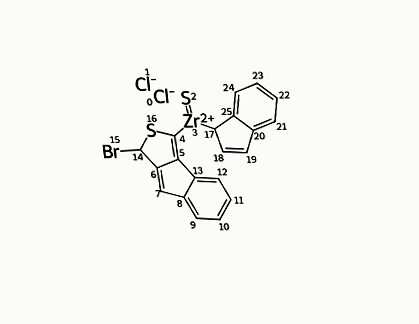 [Cl-].[Cl-].[S]=[Zr+2]([C]1=C2C(=Cc3ccccc32)C(Br)S1)[CH]1C=Cc2ccccc21